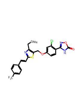 COCc1nc(C=Cc2ccc(C(F)(F)F)cc2)sc1COc1ccc(-c2noc(=O)[nH]2)c(Cl)c1